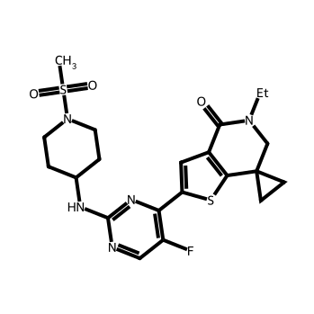 CCN1CC2(CC2)c2sc(-c3nc(NC4CCN(S(C)(=O)=O)CC4)ncc3F)cc2C1=O